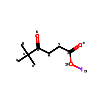 CC(C)(C)C(=O)CCC(=O)OI